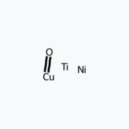 [Ni].[O]=[Cu].[Ti]